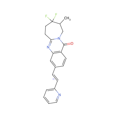 CC1Cn2c(nc3cc(/C=C/c4ccccn4)ccc3c2=O)CCC1(F)F